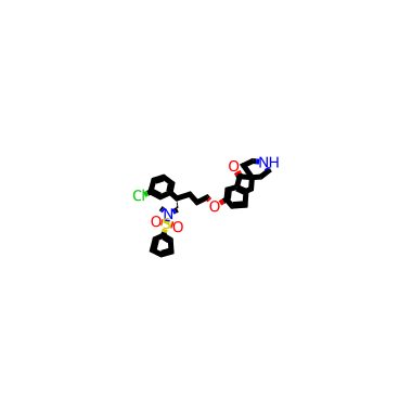 CN(C[C@@H](CCCOc1ccc2c(c1)C(=O)C1(CCNCC1)C2)c1cccc(Cl)c1)S(=O)(=O)c1ccccc1